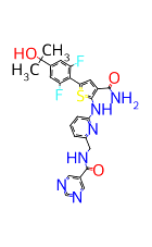 CC(C)(O)c1cc(F)c(-c2cc(C(N)=O)c(Nc3cccc(CNC(=O)c4cncnc4)n3)s2)c(F)c1